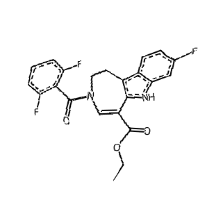 CCOC(=O)C1=CN(C(=O)c2c(F)cccc2F)CCc2c1[nH]c1cc(F)ccc21